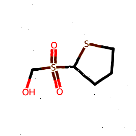 O=S(=O)(CO)C1CCCS1